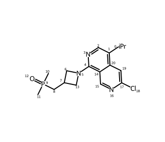 CC(C)c1cnc(N2CC(CP(C)(C)=O)C2)c2cnc(Cl)cc12